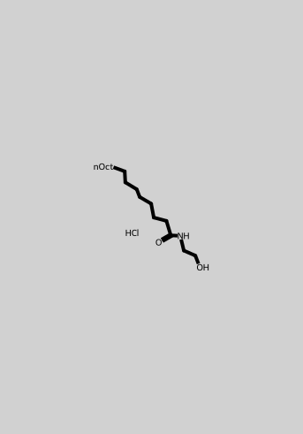 CCCCCCCCCCCCCCCC(=O)NCCO.Cl